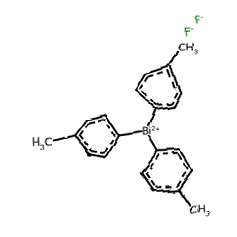 Cc1cc[c]([Bi+2]([c]2ccc(C)cc2)[c]2ccc(C)cc2)cc1.[F-].[F-]